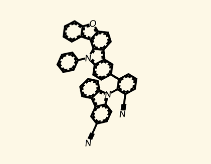 N#Cc1ccc2c(c1)c1ccccc1n2-c1c(C#N)cccc1-c1ccc2c(c1)c1ccc3oc4ccccc4c3c1n2-c1ccccc1